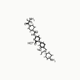 CCN(Cc1ccc(-n2ccc(NC(=O)N3CCN(C(=O)C(C)(C)N)CC3)nc2=O)cc1OC)[C@H]1CC[C@H](N)CC1.Cl